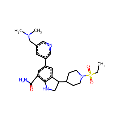 CCS(=O)(=O)N1CCC(C2CNc3c(C(N)=O)cc(-c4cncc(CN(C)C)c4)cc32)CC1